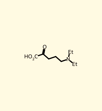 CCN(CC)CCCC(=O)C(=O)O